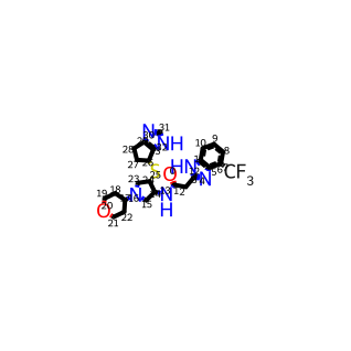 O=C(Cc1nc2c(C(F)(F)F)cccc2[nH]1)NC1CN(C2CCOCC2)C[C@@H]1SC1CCc2nc[nH]c21